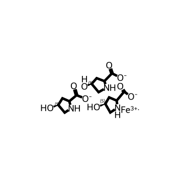 O=C([O-])C1C[C@H](O)CN1.O=C([O-])C1C[C@H](O)CN1.O=C([O-])C1C[C@H](O)CN1.[Fe+3]